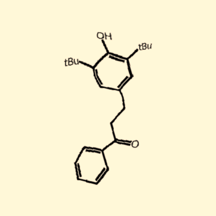 CC(C)(C)c1cc(CCC(=O)c2ccccc2)cc(C(C)(C)C)c1O